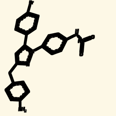 Nc1ccc(Cc2cc(-c3ccc(Br)cc3)n(-c3ccc(N[SH](=O)=O)cc3)n2)cc1